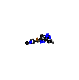 Cc1cc(-c2[nH]c3cc(C4CCN(C5CCC5)CC4)sc3c2C(C)C)cn2ncnc12